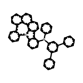 c1ccc(-c2cc(-c3ccccc3)cc(N(c3ccccc3)c3cccc4c3c3ccc5ccc6cccc7c8ccccc8n4c3c5c67)c2)cc1